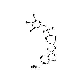 CCCCCc1ccc(C(F)(F)OC2CCC(C(F)(F)Oc3cc(F)c(F)c(F)c3)OC2)c(F)c1